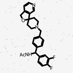 CC(=O)NC(c1ccc(CN2CCC3(CC2)OCc2ccncc23)cc1)c1ccc(F)c(F)c1